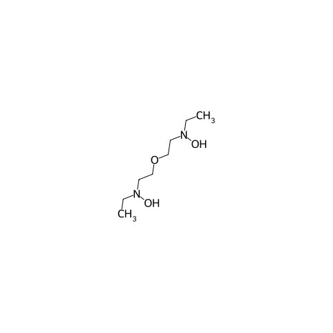 CCN(O)CCOCCN(O)CC